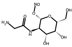 NCC(=O)N[C@H]1[C@H](ON=O)O[C@H](CO)[C@H](O)[C@@H]1O